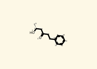 C[C@@H](O)CC(=O)CCc1ccccc1